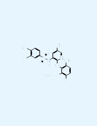 Cc1ccc(F)c(C(=O)O)c1Oc1ncc(Cl)cc1NS(=O)(=O)c1ccc(Cl)c(Cl)c1